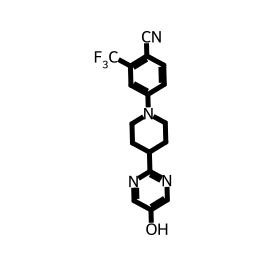 N#Cc1ccc(N2CCC(c3ncc(O)cn3)CC2)cc1C(F)(F)F